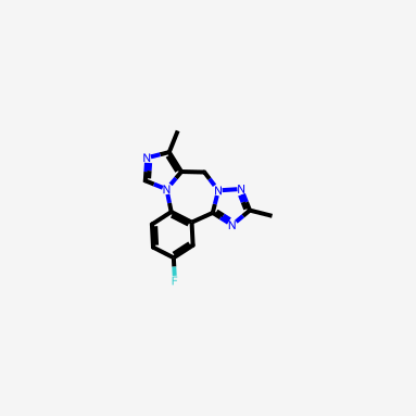 Cc1nc2n(n1)Cc1c(C)ncn1-c1ccc(F)cc1-2